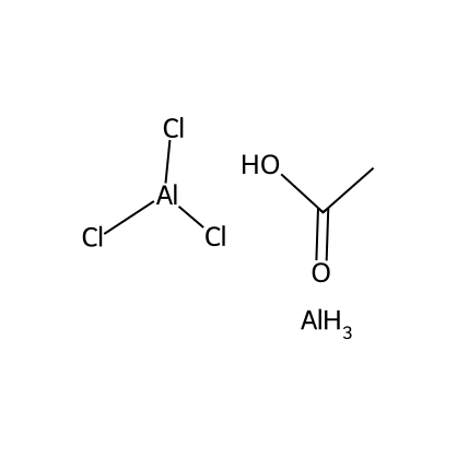 CC(=O)O.[AlH3].[Cl][Al]([Cl])[Cl]